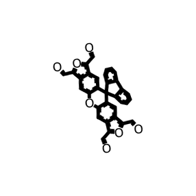 O=Cc1oc(C=O)c2cc3c(cc12)Oc1cc2c(C=O)oc(C=O)c2cc1C31c2ccccc2-c2ccccc21